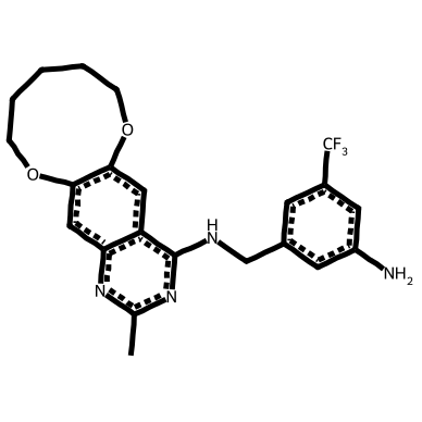 Cc1nc(NCc2cc(N)cc(C(F)(F)F)c2)c2cc3c(cc2n1)OCCCCCO3